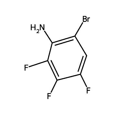 Nc1c(Br)cc(F)c(F)c1F